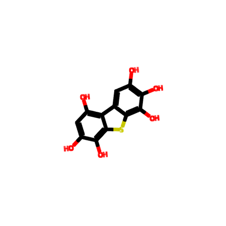 Oc1cc2c(sc3c(O)c(O)cc(O)c32)c(O)c1O